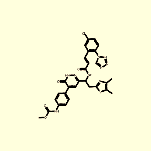 COC(=O)Nc1ccc(-c2cc(C(Cc3nc(C)c(C)s3)NC(=O)C=Cc3cc(Cl)ccc3-n3cnnn3)n[nH]c2=O)cc1